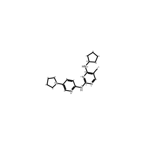 Ic1cnc(Nc2ccc(N3CCCC3)cn2)nc1NC1CCCC1